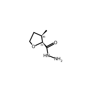 C[C@@H]1CCO[C@@H]1C(=O)NN